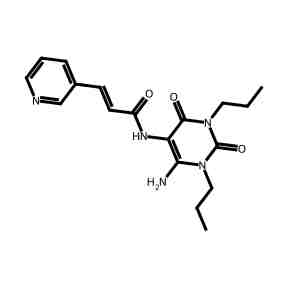 CCCn1c(N)c(NC(=O)/C=C/c2cccnc2)c(=O)n(CCC)c1=O